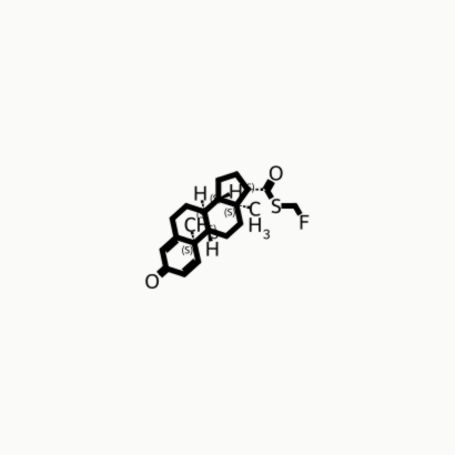 C[C@]12CC[C@H]3[C@@H](CCC4=CC(=O)C=C[C@@]43C)[C@@H]1CC[C@@H]2C(=O)SCF